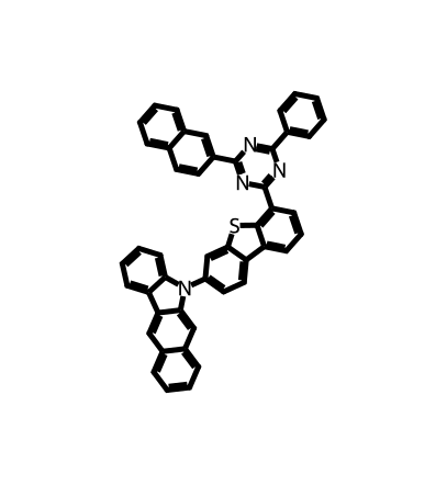 c1ccc(-c2nc(-c3ccc4ccccc4c3)nc(-c3cccc4c3sc3cc(-n5c6ccccc6c6cc7ccccc7cc65)ccc34)n2)cc1